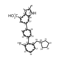 Cc1nc2c(C(=O)O)cc(-c3ccc(-c4c(F)cccc4CN4CCCC4)cc3)cc2[nH]1